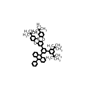 CC(C)(C)c1cc(-c2cc(-c3cc4c5c(c3)Oc3ccc(C(C)(C)C)cc3B5c3cc(C(C)(C)C)ccc3O4)cc(-c3c4ccccc4c(-c4ccccc4)c4ccccc34)c2)cc(C(C)(C)C)c1